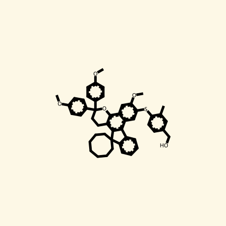 COc1ccc(C2(c3ccc(OC)cc3)CCc3c4c(c5cc(Sc6ccc(CO)cc6C)c(OC)cc5c3O2)-c2ccccc2C42CCCCCCC2)cc1